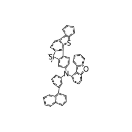 C[Si]1(C)c2cc(N(c3cccc(-c4cccc5ccccc45)c3)c3cccc4oc5ccccc5c34)ccc2-c2c1ccc1c2sc2ccccc21